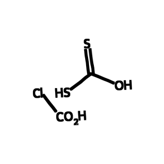 O=C(O)Cl.OC(=S)S